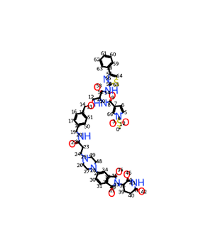 CS(=O)(=O)n1ccc(C(=O)NC(COCc2ccc(CNC(=O)CCN3CCN(c4ccc5c(c4)C(=O)N(C4CCC(=O)NC4=O)C5=O)CC3)cc2)C(=O)Nc2nc(-c3ccccc3)cs2)c1